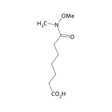 CON(C)C(=O)CCCCCC(=O)O